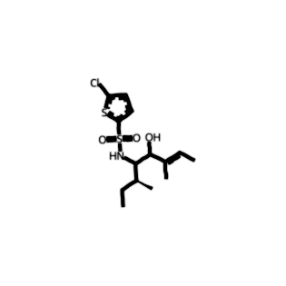 C/C=C(\C)C(O)C(NS(=O)(=O)c1ccc(Cl)s1)[C@@H](C)CC